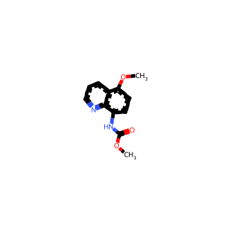 COC(=O)Nc1ccc(OC)c2cccnc12